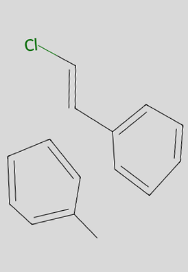 Cc1ccccc1.ClC=Cc1ccccc1